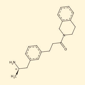 C[C@@H](N)Cc1cccc(CCC(=O)N2CCc3ccccc3C2)c1